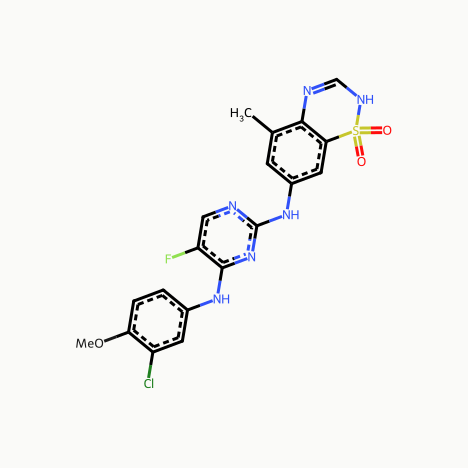 COc1ccc(Nc2nc(Nc3cc(C)c4c(c3)S(=O)(=O)NC=N4)ncc2F)cc1Cl